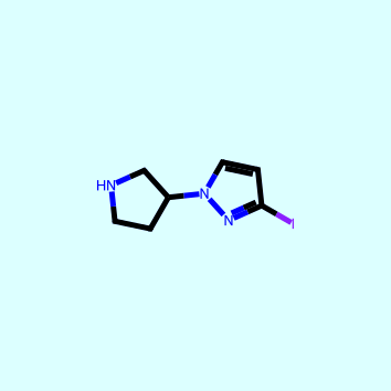 Ic1ccn(C2CCNC2)n1